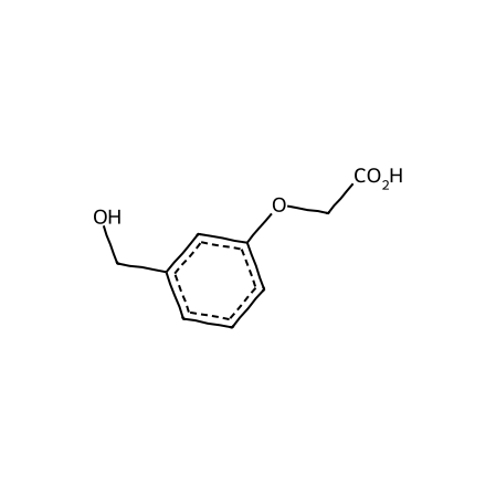 O=C(O)COc1cccc(CO)c1